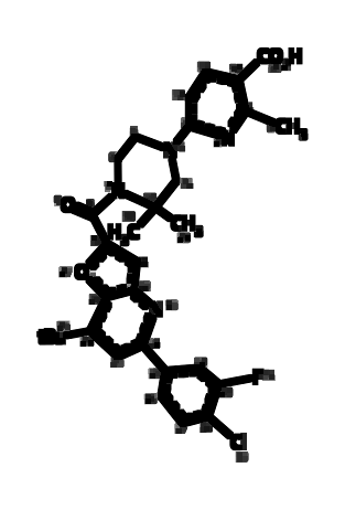 Cc1nc(N2CCN(C(=O)c3cc4nc(-c5ccc(Cl)c(F)c5)cc(C(C)(C)C)c4o3)C(C)(C)C2)ccc1C(=O)O